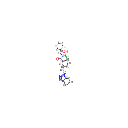 O=C(NCC1(O)CCCCC1)c1cc(COn2nnc3ccccc32)ccc1Cl